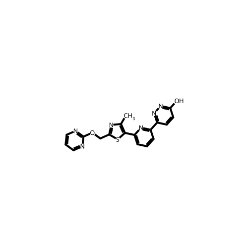 Cc1nc(COc2ncccn2)sc1-c1cccc(-c2ccc(O)nn2)n1